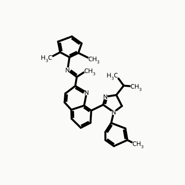 CC(=Nc1c(C)cccc1C)c1ccc2cccc(C3=NC(C(C)C)CN3c3cccc(C)c3)c2n1